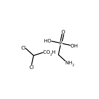 NCP(=O)(O)O.O=C(O)C(Cl)Cl